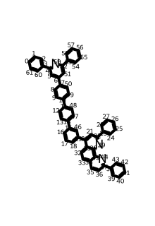 c1ccc(-c2cc(-c3ccc(-c4ccc(-c5cccc(-c6cc(-c7ccccc7)nc7c6ccc6ccc(-c8ccccc8)nc67)c5)cc4)cc3)cc(-c3ccccc3)n2)cc1